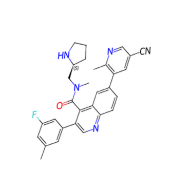 Cc1cc(F)cc(-c2cnc3ccc(-c4cc(C#N)cnc4C)cc3c2C(=O)N(C)C[C@@H]2CCCN2)c1